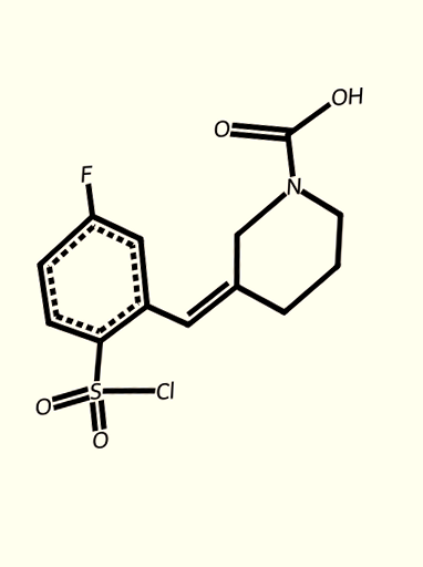 O=C(O)N1CCCC(=Cc2cc(F)ccc2S(=O)(=O)Cl)C1